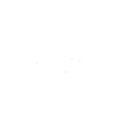 COC(=O)c1cnc(-n2cc(I)cn2)s1